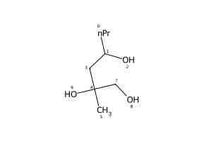 C[CH]CC(O)CC(C)(O)CO